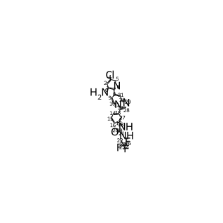 Nc1cc(Cl)cnc1-c1ccn2c(-c3cccc(NC(=O)NCC(F)(F)F)c3)cnc2c1